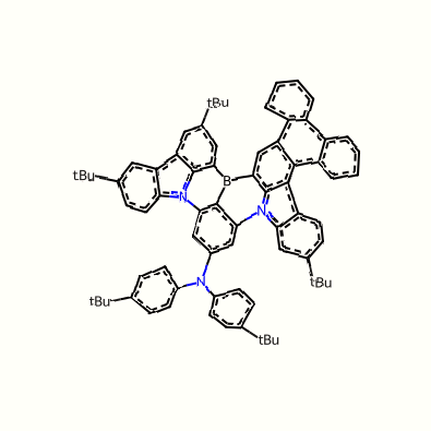 CC(C)(C)c1ccc(N(c2ccc(C(C)(C)C)cc2)c2cc3c4c(c2)-n2c5cc(C(C)(C)C)ccc5c5c6c7ccccc7c7ccccc7c6cc(c52)B4c2cc(C(C)(C)C)cc4c5cc(C(C)(C)C)ccc5n-3c24)cc1